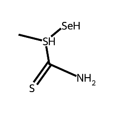 C[SH]([SeH])C(N)=S